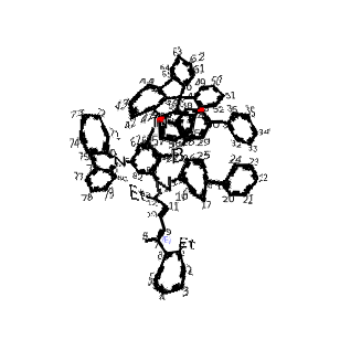 CCc1ccccc1/C(C)=C/C=CC(CC)N1c2ccc(-c3ccccc3)cc2B2c3cc(-c4ccccc4)ccc3N(c3cccc4c3C3(c5ccccc5-c5ccccc53)c3ccccc3-4)c3cc(-n4c5ccccc5c5ccccc54)cc1c32